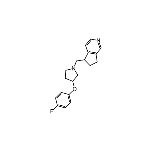 Fc1ccc(OC2CCN(CC3CCc4cnccc43)C2)cc1